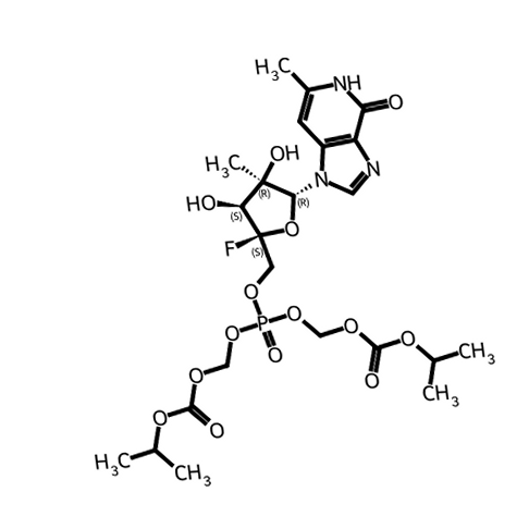 Cc1cc2c(ncn2[C@@H]2O[C@](F)(COP(=O)(OCOC(=O)OC(C)C)OCOC(=O)OC(C)C)[C@@H](O)[C@@]2(C)O)c(=O)[nH]1